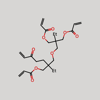 C=CC(=O)CCC(CC)(COCC(CC)(COC(=O)C=C)COC(=O)C=C)COC(=O)C=C